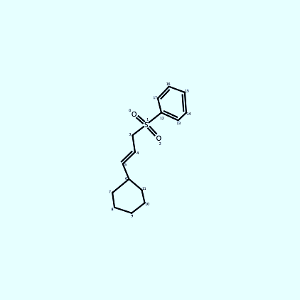 O=S(=O)(C/C=C/C1CCCCC1)c1ccccc1